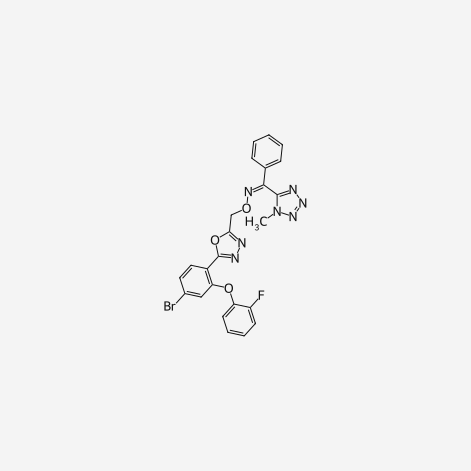 Cn1nnnc1/C(=N\OCc1nnc(-c2ccc(Br)cc2Oc2ccccc2F)o1)c1ccccc1